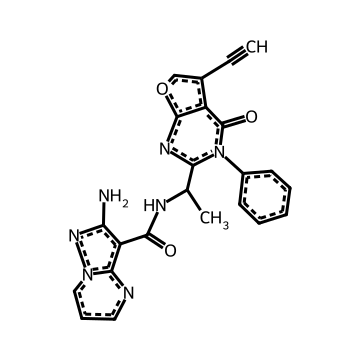 C#Cc1coc2nc(C(C)NC(=O)c3c(N)nn4cccnc34)n(-c3ccccc3)c(=O)c12